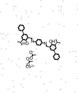 CC(=O)[O-].CC(=O)[O-].CC(C)c1cc(-c2ccccc2)cc(C=Nc2ccc(N=Cc3cc(-c4ccccc4)cc(C(C)C)c3O)cc2)c1O.[Co+2]